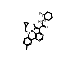 Cc1ccc(OCC2CC2)c(-c2ncnc3c(C(=O)N[C@@H]4CCCC[C@@H]4F)c(C)[nH]c23)c1